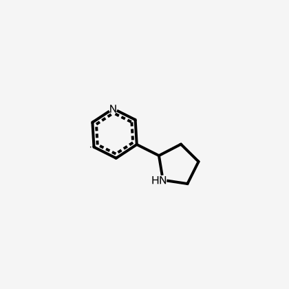 [c]1cncc(C2CCCN2)c1